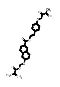 C=C(C)C(=O)COc1ccc(/C=C/OC(=O)c2ccc3cc(OCOC(=O)C(=C)C)ccc3c2)cc1